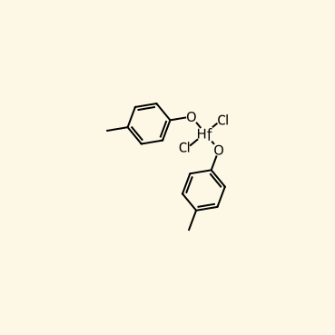 Cc1ccc([O][Hf]([Cl])([Cl])[O]c2ccc(C)cc2)cc1